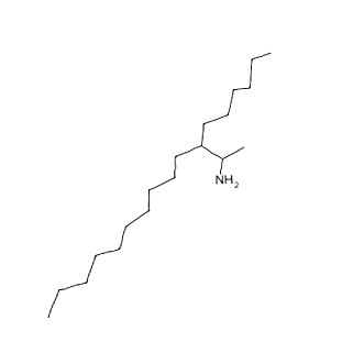 CCCCCCCCCCC(CCCCCC)C(C)N